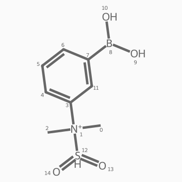 C[N+](C)(c1cccc(B(O)O)c1)[SH](=O)=O